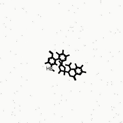 C=Cc1cc(C)c(BC)c(C)c1-c1c(C(=C)CC(C)(C(C)CCC)C(CC(=C)c2cc(C)c(C)c(C)c2)C(C)C(C)C)cc(C)c(C)c1C